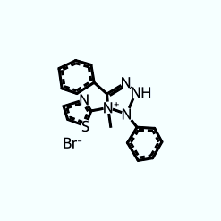 C[N+]1(c2nccs2)C(c2ccccc2)=NNN1c1ccccc1.[Br-]